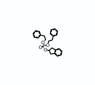 O=P(OCCc1ccccc1)(OCCc1ccccc1)OC1Cc2ccccc2C1